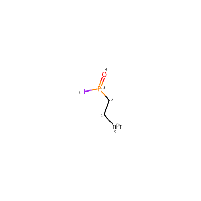 CCCCC[P](=O)I